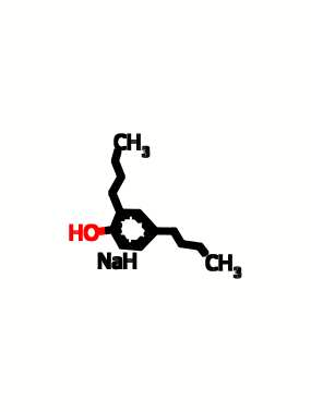 CCCCc1ccc(O)c(CCCC)c1.[NaH]